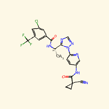 C[C@H](NC(=O)c1cc(Cl)cc(C(F)(F)F)c1)c1ncnn1-c1ccc(NC(=O)C2(C#N)CC2)cn1